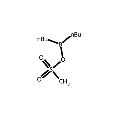 CCCCB(CCCC)OS(C)(=O)=O